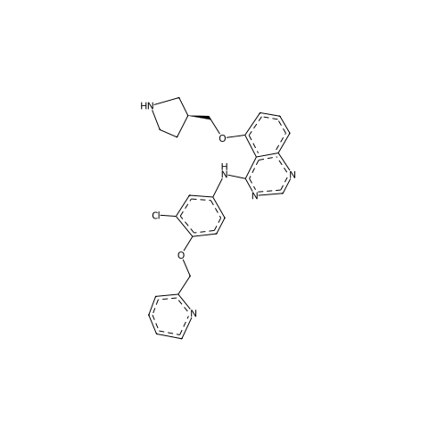 Clc1cc(Nc2ncnc3cccc(OC[C@H]4CCNC4)c23)ccc1OCc1ccccn1